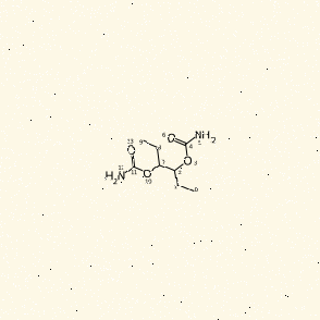 CCC(OC(N)=O)C(CC)OC(N)=O